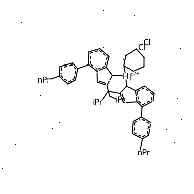 CCCc1ccc(-c2cccc3c2C=C(CC(C)C)[CH]3[Hf+2]2([CH]3C(CC(C)C)=Cc4c(-c5ccc(CCC)cc5)cccc43)[CH]3CCCC[CH]32)cc1.[Cl-].[Cl-]